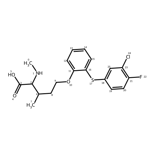 CNC(C(=O)O)C(C)CCOc1ccccc1Sc1ccc(F)c(Cl)c1